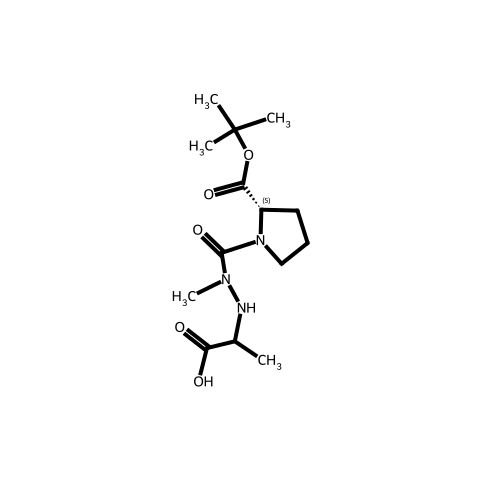 CC(NN(C)C(=O)N1CCC[C@H]1C(=O)OC(C)(C)C)C(=O)O